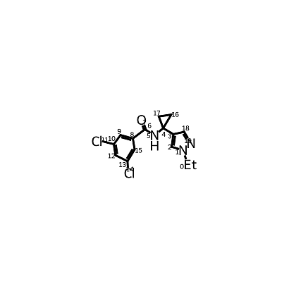 CCn1cc(C2(NC(=O)c3cc(Cl)cc(Cl)c3)CC2)cn1